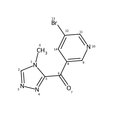 Cn1cnnc1C(=O)c1cncc(Br)c1